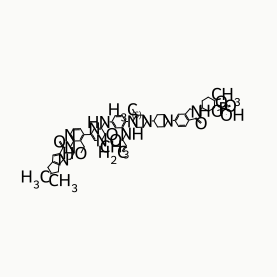 C=CC(=O)Nc1cc(Nc2nc(-c3ccnc(N4CCn5c(cc6c5CC(C)(C)C6)C4=O)c3CO)cn(C)c2=O)ccc1N1CCN(C2CCN(c3ccc4c(c3)CN(C3CCC(C)(OP(=O)(O)O)CC3)C4=O)CC2)C[C@@H]1C